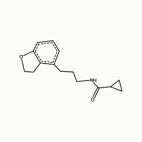 O=C(NCCCc1cccc2c1CCO2)C1CC1